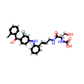 Cc1ccccc1C(=O)c1ccc(Nc2ccccc2/C=C/CNC(=O)[C@@H](CO)NC(=O)O)cc1Cl